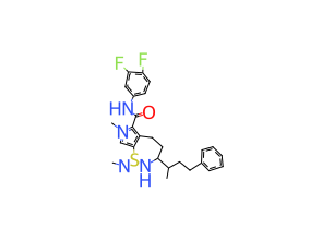 C/N=S1/NC(C(C)CCc2ccccc2)CCc2c1cn(C)c2C(=O)Nc1ccc(F)c(F)c1